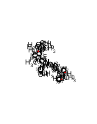 CCc1c(F)ccc2cc(O[Si](C(C)C)(C(C)C)C(C)C)cc(-c3ncc4c(N5CCC[C@@](C)(O)C5)nc(OC[C@]56CCCN5[C@@H](CO[Si](c5ccccc5)(c5ccccc5)C(C)(C)C)CC6)nc4c3F)c12